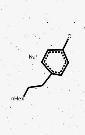 CCCCCCCCc1ccc([O-])cc1.[Na+]